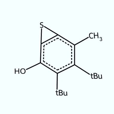 Cc1c2c(c(O)c(C(C)(C)C)c1C(C)(C)C)S2